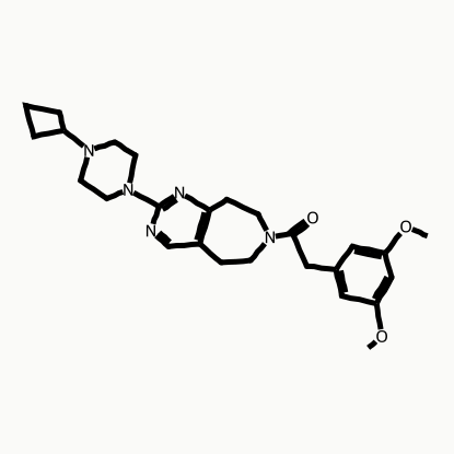 COc1cc(CC(=O)N2CCc3cnc(N4CCN(C5CCC5)CC4)nc3CC2)cc(OC)c1